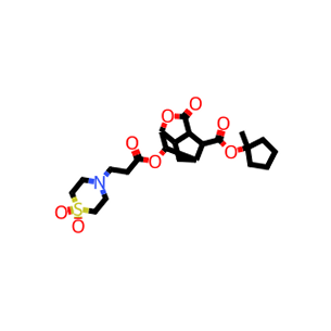 CC1(OC(=O)C2C3CC4C(OC(=O)C42)C3OC(=O)CCN2CCS(=O)(=O)CC2)CCCC1